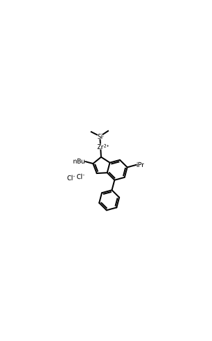 CCCCC1=Cc2c(-c3ccccc3)cc(C(C)C)cc2[CH]1[Zr+2][Si](C)C.[Cl-].[Cl-]